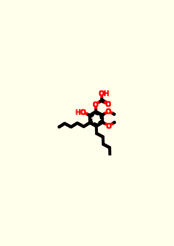 CCCCCc1c(O)c(OC(=O)O)c(OC)c(OC)c1CCCCC